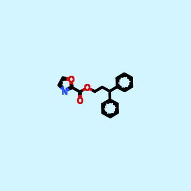 O=C(OCCC(c1ccccc1)c1ccccc1)c1ncco1